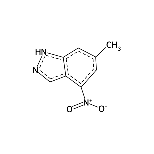 Cc1cc([N+](=O)[O-])c2cn[nH]c2c1